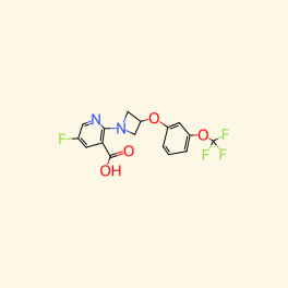 O=C(O)c1cc(F)cnc1N1CC(Oc2cccc(OC(F)(F)F)c2)C1